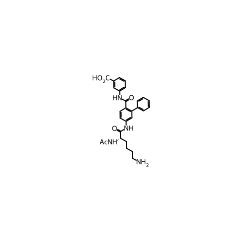 CC(=O)N[C@@H](CCCCN)C(=O)Nc1ccc(C(=O)Nc2cccc(C(=O)O)c2)c(-c2ccccc2)c1